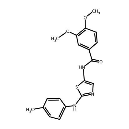 COc1ccc(C(=O)Nc2cnc(Nc3ccc(C)cc3)s2)cc1OC